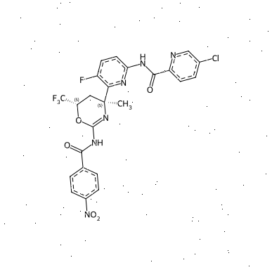 C[C@@]1(c2nc(NC(=O)c3ccc(Cl)cn3)ccc2F)C[C@@H](C(F)(F)F)OC(NC(=O)c2ccc([N+](=O)[O-])cc2)=N1